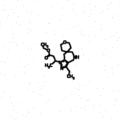 CCOC(=O)CC(C)n1nc(CC)c2c1CC1(CCOCC1)CNC2